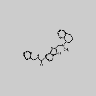 CN(Cc1nc2cc(C(=O)NCc3cccnc3)ccc2[nH]1)C1CCCc2cccnc21